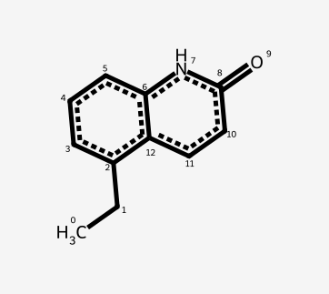 CCc1cccc2[nH]c(=O)ccc12